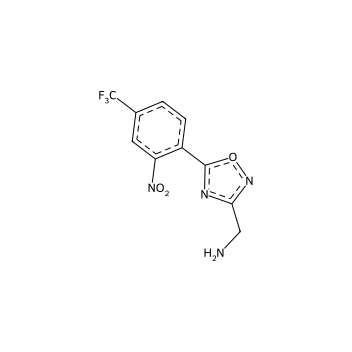 NCc1noc(-c2ccc(C(F)(F)F)cc2[N+](=O)[O-])n1